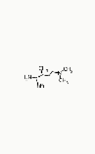 CCC[C@@H](N)[C@@H](C)CCN(C)C